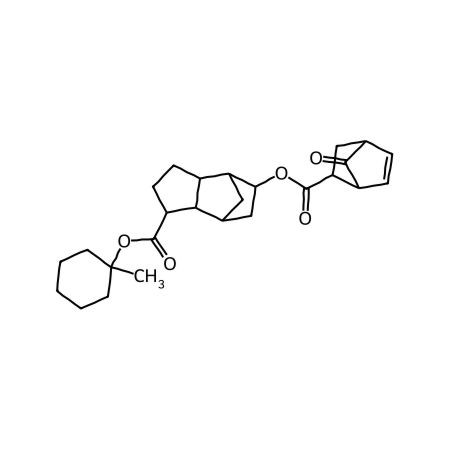 CC1(OC(=O)C2CCC3C4CC(CC4OC(=O)C4CC5C=CC4C5=O)C23)CCCCC1